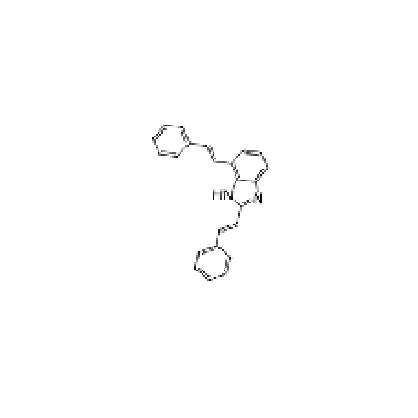 C(=Cc1nc2cccc(C=Cc3ccccc3)c2[nH]1)c1ccccc1